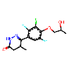 CC(O)COc1c(F)cc(C2=NNC(=O)CC2C)c(F)c1Cl